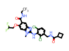 Cn1c(Nc2c(Cl)ccc(CNC(=O)C3CCC3)c2Cl)nc2cc(C(=O)NCC(F)(F)F)c(OCC(F)F)cc21